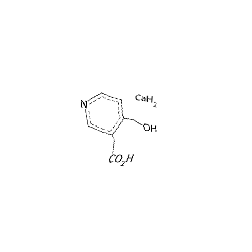 O=C(O)c1cnccc1O.[CaH2]